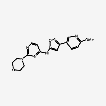 COc1ccc(-c2cc(Nc3ccnc(N4CCOCC4)n3)on2)cn1